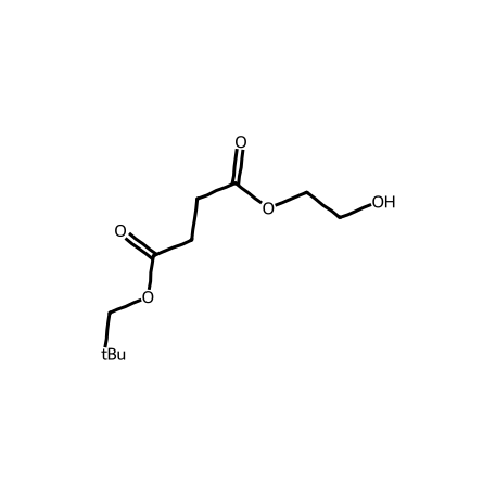 CC(C)(C)COC(=O)CCC(=O)OCCO